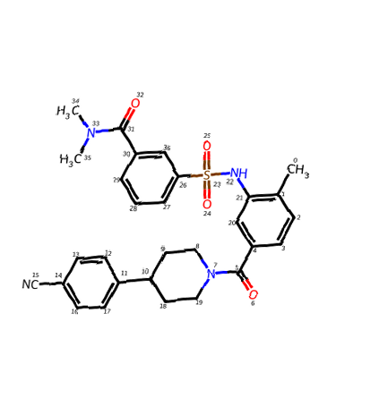 Cc1ccc(C(=O)N2CCC(c3ccc(C#N)cc3)CC2)cc1NS(=O)(=O)c1cccc(C(=O)N(C)C)c1